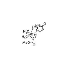 COC(=O)[C@H]1O[C@@H](n2ccc(=O)[nH]c2=O)[C@](C)(F)[C@@H]1C